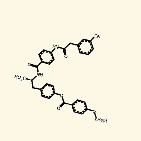 CCCCCCCOc1ccc(C(=O)Oc2ccc(C[C@H](NC(=O)c3ccc(NC(=O)Cc4cccc(C#N)c4)cc3)C(=O)O)cc2)cc1